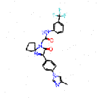 Cc1cn(-c2ccc(C3=NC4(CCCC4)N(CC(=O)Nc4cccc(C(F)(F)F)c4)C3=O)cc2)cn1